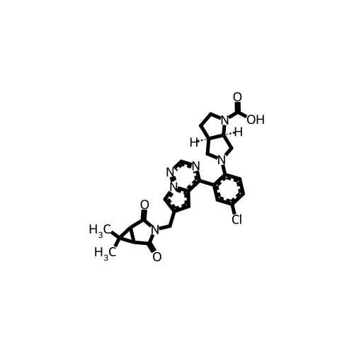 CC1(C)C2C(=O)N(Cc3cc4c(-c5cc(Cl)ccc5N5C[C@H]6CCN(C(=O)O)[C@H]6C5)ncnn4c3)C(=O)C21